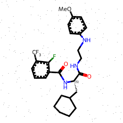 COc1ccc(NCCNC(=O)[C@H](CC2CCCCC2)NC(=O)c2cccc(C(F)(F)F)c2F)cc1